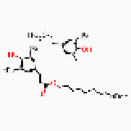 CCCCCCCCCCCCCCCCCCOC(=O)CCc1cc(C(C)(C)C)c(O)c(C(C)(C)C)c1.Cc1cc(CCC(=O)O)cc(C(C)(C)C)c1O